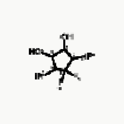 CC(C)C1C(O)C(O)C(C(C)C)C1(F)F